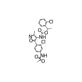 Cc1noc(-c2ccc(NS(C)(=O)=O)cc2Cl)c1NC(=O)OC(C)c1ccccc1Cl